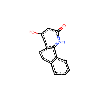 O=c1cc(O)c2ccc3ccccc3c2[nH]1